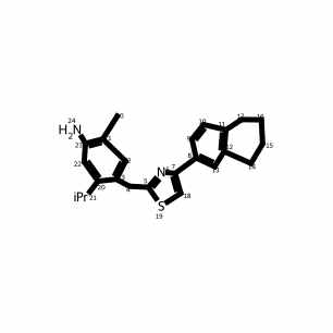 Cc1cc(Cc2nc(-c3ccc4c(c3)CCCC4)cs2)c(C(C)C)cc1N